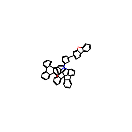 c1cc(-c2ccc3c(c2)oc2ccccc23)cc(N(c2ccc3c4ccccc4c4ccccc4c3c2)c2cccc3c2C2(c4ccccc4-c4ccccc42)c2ccccc2-3)c1